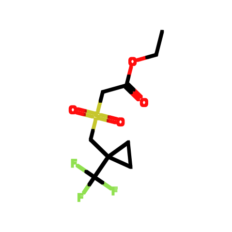 CCOC(=O)CS(=O)(=O)CC1(C(F)(F)F)CC1